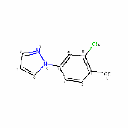 CC(=O)c1ccc(-n2cccn2)cc1Cl